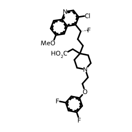 COc1ccc2ncc(Cl)c([C@H](F)CCC3(CC(=O)O)CCN(CCOc4cc(F)cc(F)c4)CC3)c2c1